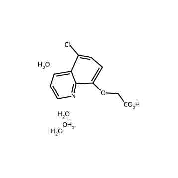 O.O.O.O.O=C(O)COc1ccc(Cl)c2cccnc12